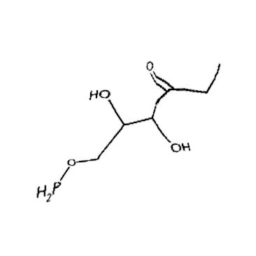 CCC(=O)C(O)C(O)COP